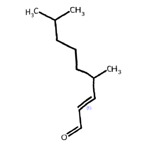 CC(C)CCCC(C)/C=C/C=O